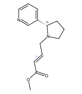 COC(=O)/C=C/CN1CCC[C@H]1c1cccnc1